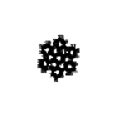 c1ccc(-c2ccccc2-c2cc(-c3ccccn3)c(-c3ccccn3)c(-c3ccccn3)c2-c2ccccn2)cc1